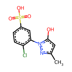 Cc1cc(O)n(-c2cc(S(=O)(=O)O)ccc2Cl)n1